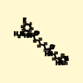 Nc1cc(F)ccc1NC(=O)CCCCCC(=O)NCCc1cnc[nH]1